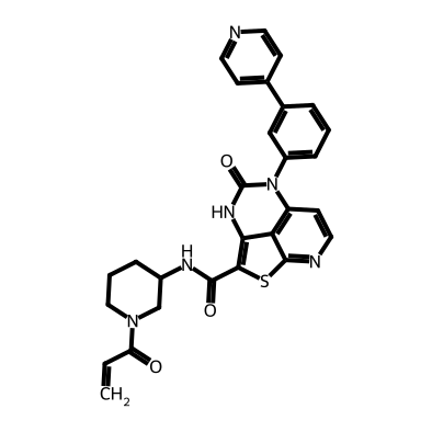 C=CC(=O)N1CCCC(NC(=O)c2sc3nccc4c3c2NC(=O)N4c2cccc(-c3ccncc3)c2)C1